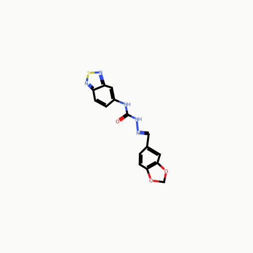 O=C(N/N=C/c1ccc2c(c1)OCO2)Nc1ccc2nsnc2c1